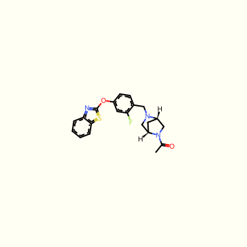 CC(=O)N1C[C@@H]2C[C@H]1CN2Cc1ccc(Oc2nc3ccccc3s2)cc1F